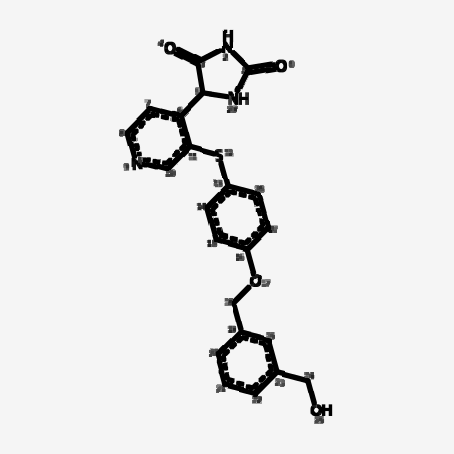 O=C1NC(=O)C(c2ccncc2Sc2ccc(OCc3cccc(CO)c3)cc2)N1